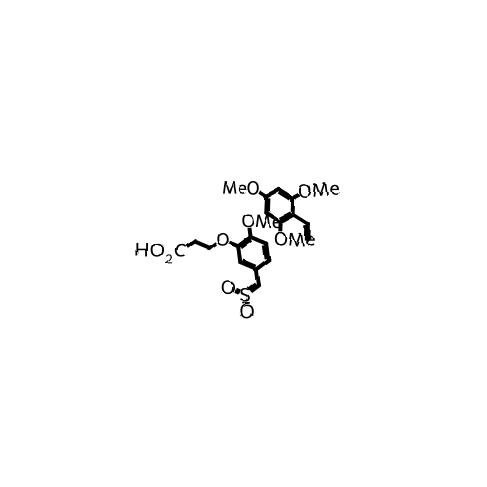 C=Cc1c(OC)cc(OC)cc1OC.COc1ccc(C=S(=O)=O)cc1OCCC(=O)O